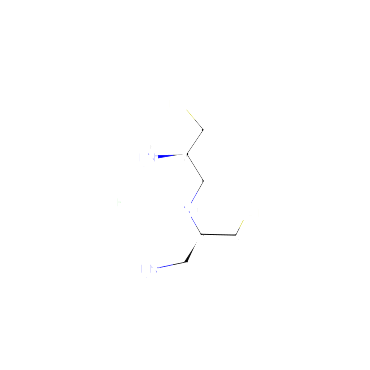 Cl.NC[C@H](CS)NC[C@@H](N)CS